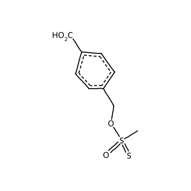 CS(=O)(=S)OCc1ccc(C(=O)O)cc1